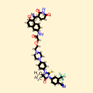 CC1(C)C(=O)N(c2ccc(C#N)c(C(F)(F)F)c2)C(=S)N1c1ccc(N2CCN(CCOCC(=O)Nc3ccc4c(ccc5onc(C6CCC(=O)NC6=O)c54)c3)CC2)cc1